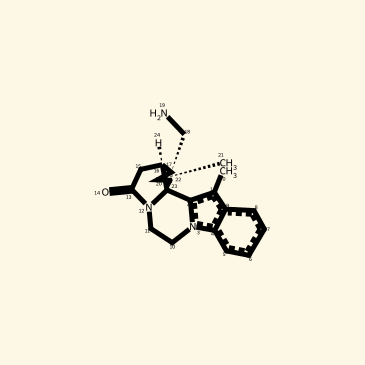 Cc1c2n(c3ccccc13)CCN1C(=O)C[C@H]3[C@H](CN)[C@@H](C)C[C@]231